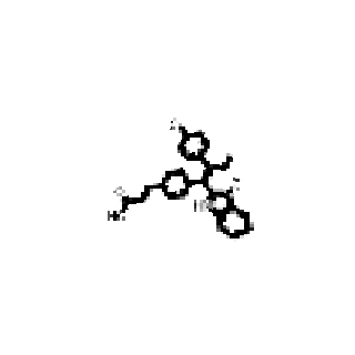 CC/C(=C(/c1ccc(/C=C/C(=O)O)cc1)c1[nH]c2ccccc2c1Cl)c1ccc(Cl)cc1